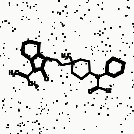 C=C(C)n1c(=O)n(CC[N+]2(C)CCC(N(C(=O)CC)c3ccccc3)CC2)c2ccccc21